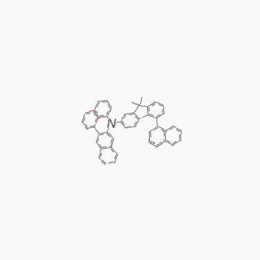 CC1(C)c2cc(N(c3ccccc3)c3cc4ccccc4cc3-c3ccccc3)ccc2-c2c(-c3cccc4ccccc34)cccc21